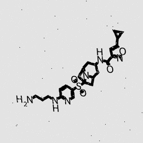 NCCCNc1ccc(S(=O)(=O)C23CC4CC(NC(=O)c5cc(C6CC6)on5)CC(C2)N43)cn1